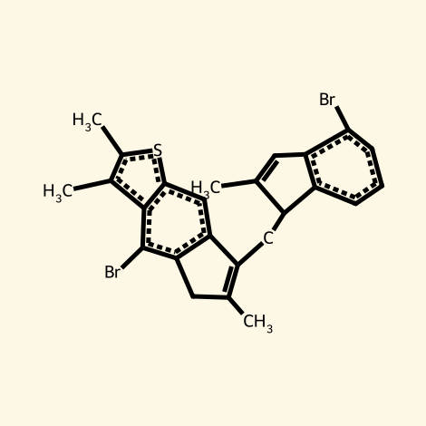 CC1=Cc2c(Br)cccc2C1CC1=C(C)Cc2c1cc1sc(C)c(C)c1c2Br